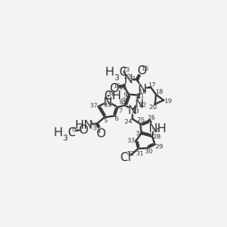 CONC(=O)c1cc(-c2c3c(=O)n(C)c(=O)n(CC4CC4)c3nn2Cc2c[nH]c3ccc(Cl)cc23)n(C)c1